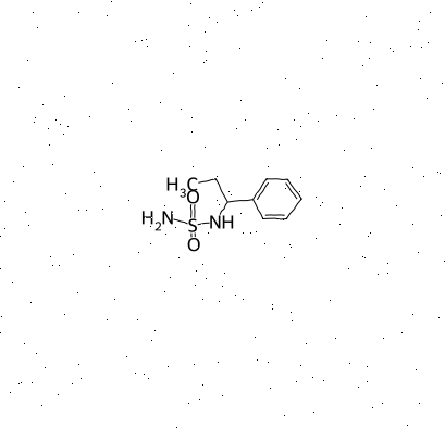 CCC(NS(N)(=O)=O)c1ccccc1